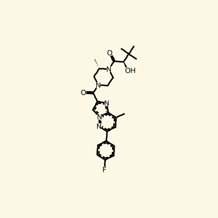 Cc1cc(-c2ccc(F)cc2)nn2cc(C(=O)N3CCN(C(=O)[C@H](O)C(C)(C)C)[C@@H](C)C3)nc12